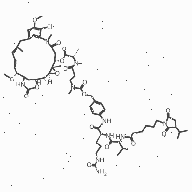 COc1cc2cc(c1Cl)N(C)C(=O)C[C@H](OC(=O)[C@H](C)N(C)C(=O)CCN(C)C(=O)OCc1ccc(NC(=O)[C@H](CCCNC(N)=O)NC(=O)[C@@H](NC(=O)CCCCCN3C(=O)CC(C(C)C)C3=O)C(C)C)cc1)[C@]1(C)O[C@H]1[C@H](C)[C@@H]1CC(NC(=O)O1)[C@H](OC)/C=C/C=C(\C)C2